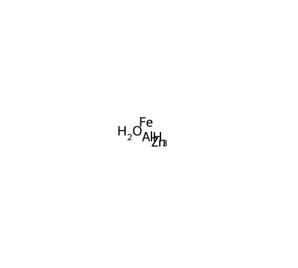 O.[AlH3].[Fe].[Zn]